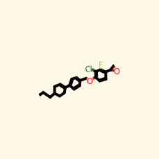 CCCC1CC=C(c2ccc(COc3ccc(C4CO4)c(F)c3Cl)cc2)CC1